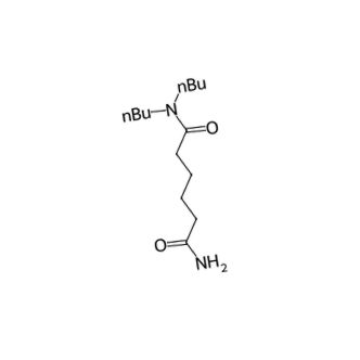 CCCCN(CCCC)C(=O)CCCCC(N)=O